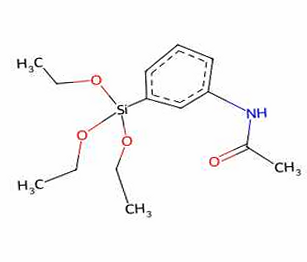 CCO[Si](OCC)(OCC)c1cccc(NC(C)=O)c1